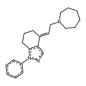 C(CN1CCCCCC1)=C1CCCc2c1cnn2-c1ccccc1